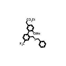 CCOC(=O)Cc1ccc(OC)c(-c2ccc(C(F)(F)F)cc2CSCc2ccccc2)c1